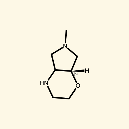 CN1CC2NCCO[C@H]2C1